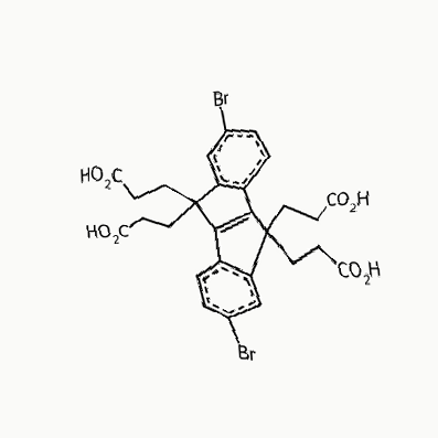 O=C(O)CCC1(CCC(=O)O)C2=C(c3ccc(Br)cc31)C(CCC(=O)O)(CCC(=O)O)c1cc(Br)ccc12